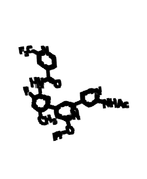 CC(=O)Nc1cc(-c2cc(-c3cc(NC(=O)c4ccnc(C(F)(F)F)c4)c(F)cc3C)cc(OC(C)C)n2)ccn1